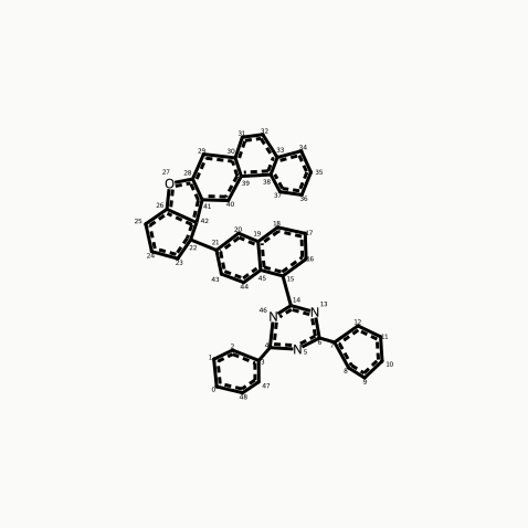 c1ccc(-c2nc(-c3ccccc3)nc(-c3cccc4cc(-c5cccc6oc7cc8ccc9ccccc9c8cc7c56)ccc34)n2)cc1